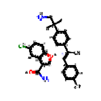 CCc1ccc(/C=C(\C#N)c2ccc(C(C)(C)CN)cc2)cc1.NC(=O)c1coc2ccc(Cl)cc12